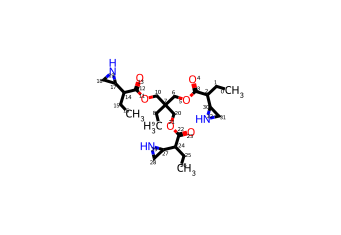 CCC(C(=O)OCC(CC)(COC(=O)C(CC)C1CN1)COC(=O)C(CC)C1CN1)C1CN1